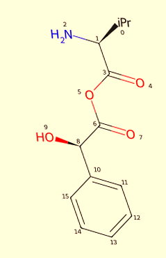 CC(C)[C@H](N)C(=O)OC(=O)[C@H](O)c1ccccc1